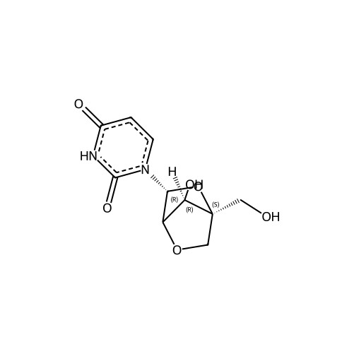 O=c1ccn([C@@H]2O[C@@]3(CO)COC2[C@H]3O)c(=O)[nH]1